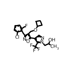 CC(O)Cn1ncc(-c2onc(-c3c(F)cccc3Cl)c2COC2CCC2)c1C(F)(F)F